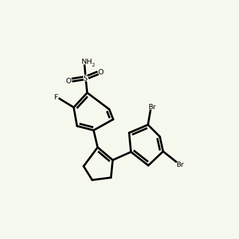 NS(=O)(=O)c1ccc(C2=C(c3cc(Br)cc(Br)c3)CCC2)cc1F